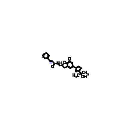 CC(C)(O)c1ccc(-c2cc(Cl)c3c(c2)CC(CNC(=O)/C=C/c2cccnc2)O3)s1